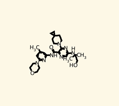 Cc1cc(NC(=O)c2ncc(NC(C)(C)CO)nc2N2CCC3(CC2)CC3)nc(N2CCOCC2)c1